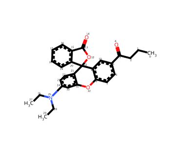 CCCC(=O)c1ccc2c(c1)C1(OC(=O)c3ccccc31)c1ccc(N(CC)CC)cc1O2